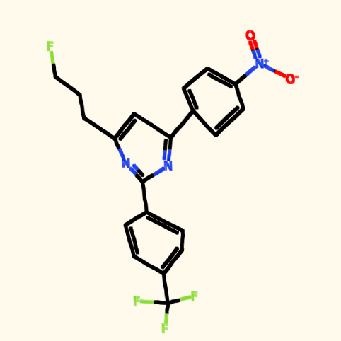 O=[N+]([O-])c1ccc(-c2cc(CCCF)nc(-c3ccc(C(F)(F)F)cc3)n2)cc1